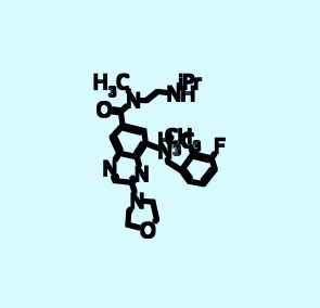 Cc1c(F)cccc1CN(C)c1cc(C(=O)N(C)CCNC(C)C)cc2ncc(N3CCOCC3)nc12